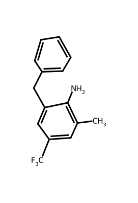 Cc1cc(C(F)(F)F)cc(Cc2ccccc2)c1N